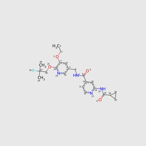 CCOc1cc(CNC(=O)c2ccnc(NC(=O)C3CC3)c2)cnc1OCC(C)(C)F